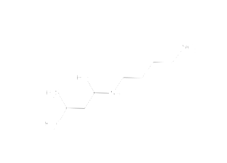 NCCCCNC(O)CC(N)C(=O)O